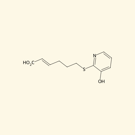 O=C(O)C=CCCCSc1ncccc1O